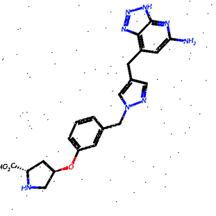 Nc1cc(Cc2cnn(Cc3cccc(O[C@H]4CN[C@H](C(=O)O)C4)c3)c2)c2nn[nH]c2n1